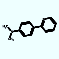 CN(C)c1ccc(-c2[c]cccn2)cc1